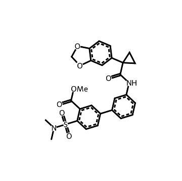 COC(=O)c1cc(-c2cccc(NC(=O)C3(c4ccc5c(c4)OCO5)CC3)c2)ccc1S(=O)(=O)N(C)C